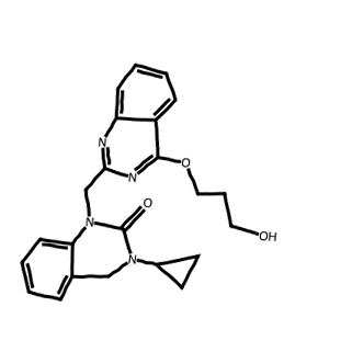 O=C1N(Cc2nc(OCCCO)c3ccccc3n2)c2ccccc2CN1C1CC1